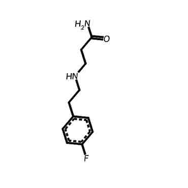 NC(=O)CCNCCc1ccc(F)cc1